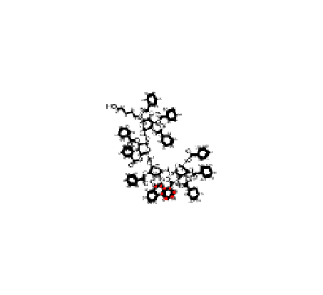 O=C(OC[C@H]1O[C@@H](OC[C@H]2O[C@@H](OC[C@H]3O[C@@H](OC[C@H]4O[C@@H](OCCCCCO)[C@H](OC(=O)c5ccccc5)[C@@H](OC(=O)c5ccccc5)[C@@H]4OC(=O)c4ccccc4)[C@H](OC(=O)c4ccccc4)[C@@H](O)[C@@H]3OC(=O)c3ccccc3)[C@H](OC(=O)c3ccccc3)[C@@H](OC(=O)c3ccccc3)[C@@H]2OC(=O)c2ccccc2)[C@H](OC(=O)c2ccccc2)[C@@H](OC(=O)c2ccccc2)[C@@H]1OC(=O)c1ccccc1)c1ccccc1